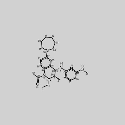 CC[C@H]1[C@H](C)[C@@H](Nc2cccc(OC)n2)c2cc(N3CCCCCC3)ccc2N1C(C)=O